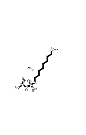 CCCCCCCCCCCCCCCCCCOP(O)(O)=[SH]B(O)O.N